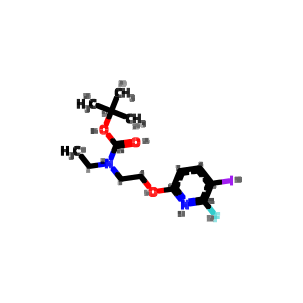 CCN(CCOc1ccc(I)c(F)n1)C(=O)OC(C)(C)C